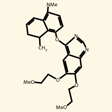 CNc1ccc(Oc2ncnc3cc(OCCOC)c(OCCOC)cc23)c2c1C=CCC2C